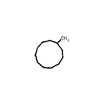 CC1CCCCCCCCCC1